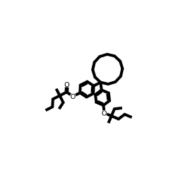 CCCC(C)(CC)Oc1ccc(C2(c3ccc(OC(=O)C(C)(CC)CCC)cc3)CCCCCCCCCCC2)cc1